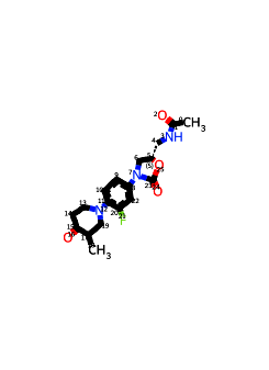 CC(=O)NC[C@H]1CN(c2ccc(N3CCC(=O)C(C)C3)c(F)c2)C(=O)O1